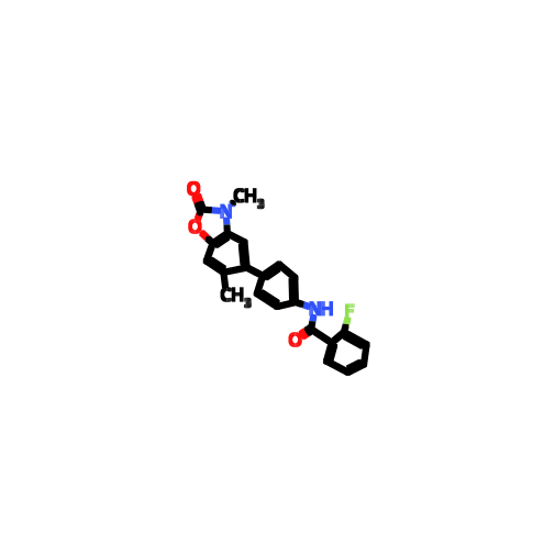 Cc1cc2oc(=O)n(C)c2cc1-c1ccc(NC(=O)c2ccccc2F)cc1